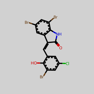 O=C1Nc2c(Br)cc(Br)cc2C1=Cc1cc(Cl)cc(Br)c1O